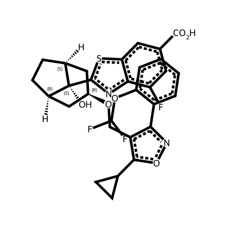 O=C(O)c1cc(F)c2nc([C@@]3(O)[C@@H]4CC[C@H]3C[C@@H](OCc3c(-c5ccccc5OC(F)F)noc3C3CC3)C4)sc2c1